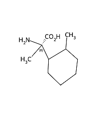 CC1CCCCC1[C@@](C)(N)C(=O)O